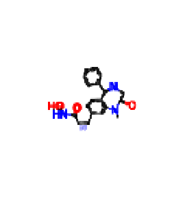 CN1C(=O)CN=C(c2ccccc2)c2ccc(/C=C\C(=O)NO)cc21